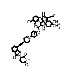 CC1(C)CCC2(CC1)N[C@@H](C(=O)NC13CCC(N4CCC(C#Cc5cccc6c5CN(C5CCC(=O)NC5=O)C6=O)CC4)(CC1)CC3)[C@H](c1cccc(Cl)c1F)[C@]21C(=O)Nc2cc(Cl)ccc21